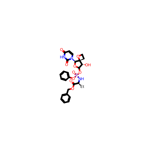 CC[C@H](NP(=O)(Oc1ccccc1)OC1O[C@@H](n2ccc(=O)[nH]c2=O)[C@@]2(CCO2)[C@@H]1O)C(=O)OCc1ccccc1